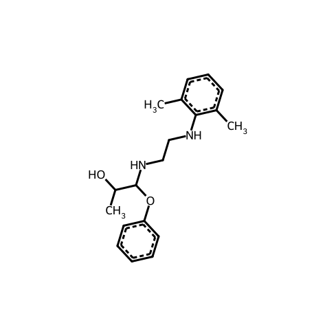 Cc1cccc(C)c1NCCNC(Oc1ccccc1)C(C)O